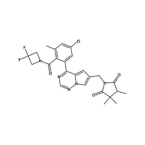 Cc1cc(Cl)cc(-c2ncnn3cc(CN4C(=O)C(C)C(C)(C)C4=O)cc23)c1C(=O)N1CC(F)(F)C1